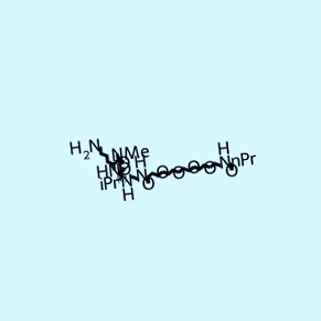 CCCC(=O)NCCOCCOCCOCCOCCC(=O)NCCN[C@H](C(=O)NC(CCCCN)C(=O)NC)C(C)C